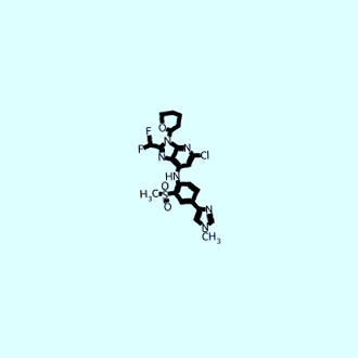 Cn1cnc(-c2ccc(Nc3cc(Cl)nc4c3nc(C(F)F)n4C3CCCCO3)c(S(C)(=O)=O)c2)c1